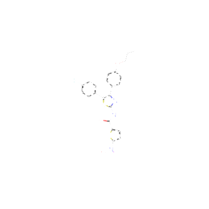 CCCOc1ccc(-c2nc(NC(=O)c3ccc([N+](=O)[O-])s3)sc2-c2ccc(F)cc2)cc1